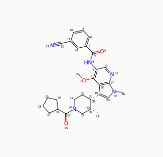 COc1c(NC(=O)c2cccc(C#N)c2)cnc2c1c([C@H]1CCN(C(=O)C3CCCC3)C[C@H]1C)cn2C